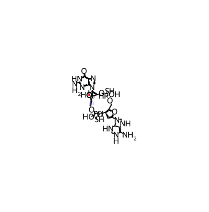 NC1=C2NCN(c3cc4c(o3)CO[PH](O)(S)OC3=C(n5cnc6c(=O)[nH]c(N)nc65)O/C(=C/O[PH](O)(S)O4)[C@H]3O)C2NCN1